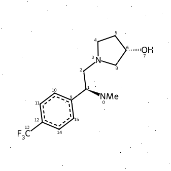 CN[C@H](CN1CC[C@H](O)C1)c1ccc(C(F)(F)F)cc1